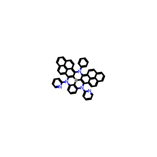 c1ccc(N2c3c4c(c5ccc6cccc7ccc3c5c67)N(c3ccccn3)c3cccc5c3B4c3c(c4ccc6cccc7ccc(c32)c4c67)N5c2ccccn2)cc1